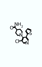 NC(=O)C1CCN(c2c(Cl)cncc2-c2cccs2)CC1